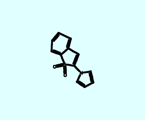 O=S1(=O)C(n2cccc2)=Cc2ccccc21